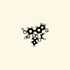 CC[C@@H](C)OC(=O)C1(COc2c(-c3ccc4c(c3)CCC4=O)ccc(OC)c2OC)CCC1